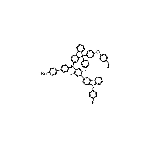 C=Cc1ccc(Oc2ccc(C3(c4ccccc4)c4ccccc4-c4ccc(N(c5ccc(-c6ccc(C(C)(C)C)cc6)cc5)c5cc(C)c(-c6ccc7c(c6)c6ccccc6n7-c6ccc(F)cc6)cc5C)cc43)cc2)cc1